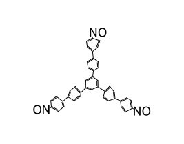 O=Nc1ccc(-c2ccc(-c3cc(-c4ccc(-c5ccc(N=O)cc5)cc4)cc(-c4ccc(-c5ccc(N=O)cc5)cc4)c3)cc2)cc1